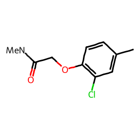 CNC(=O)COc1ccc(C)cc1Cl